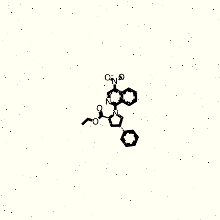 CCOC(=O)[C@@H]1C[C@@H](c2ccccc2)CN1c1ncc([N+](=O)[O-])c2ccccc12